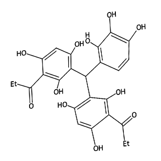 CCC(=O)c1c(O)cc(O)c(C(c2ccc(O)c(O)c2O)c2c(O)cc(O)c(C(=O)CC)c2O)c1O